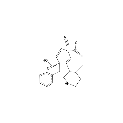 CC1CCNCC1C1=CC(C#N)([N+](=O)[O-])C=CC1(Cc1ccccc1)C(=O)O